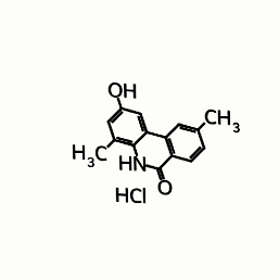 Cc1ccc2c(=O)[nH]c3c(C)cc(O)cc3c2c1.Cl